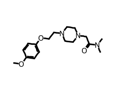 COc1ccc(OCCN2CCN(CC(=O)N(C)C)CC2)cc1